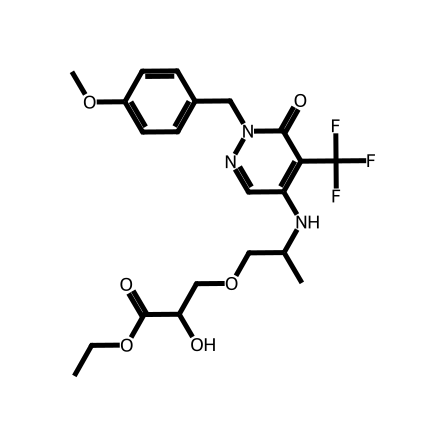 CCOC(=O)C(O)COCC(C)Nc1cnn(Cc2ccc(OC)cc2)c(=O)c1C(F)(F)F